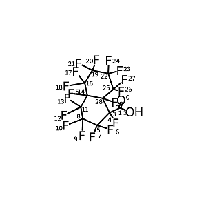 O=C(O)C1(F)C(F)(F)C(F)(F)C(F)(F)C2(F)C(F)(F)C(F)(F)C(F)(F)C(F)(F)C12F